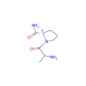 CC(N)C(=O)N1CCC[C@H]1C(N)=O